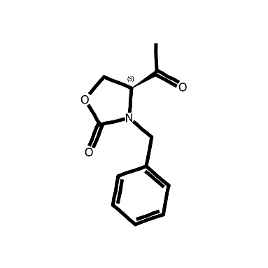 CC(=O)[C@@H]1COC(=O)N1Cc1ccccc1